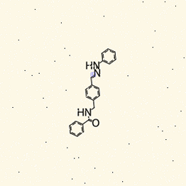 O=C(NCc1ccc(/C=N/Nc2ccccc2)cc1)c1ccccc1